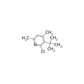 Cc1cc(C)c(C(C)(C)C)c(Cl)n1